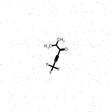 CC(C)C(=O)C#CC(F)(F)F